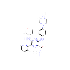 COc1cccnc1-c1nc(C(N)=O)c(Nc2ccc(N3CCN(C)CC3)cc2)nc1NC1CCOCC1